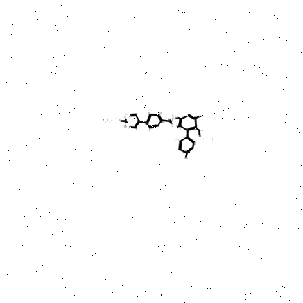 COc1ncc(-c2ccc(-c3nc4cc(C)c(CC(=O)O)c(-c5ccc(Cl)cc5)c4s3)cc2)cn1